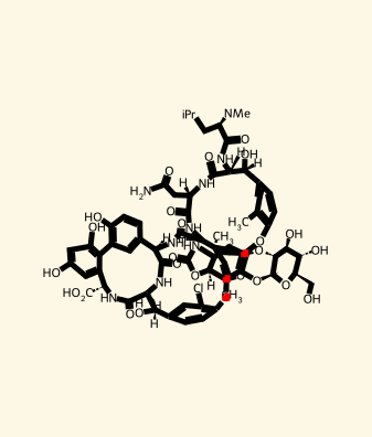 CN[C@H](CC(C)C)C(=O)N[C@H]1C(=O)N[C@@H](CC(N)=O)C(=O)N[C@H]2C(=O)N[C@H]3C(=O)N[C@H](C(=O)N[C@H](C(=O)O)c4cc(O)cc(O)c4-c4cc3ccc4O)[C@H](O)c3ccc(c(Cl)c3)Oc3cc2cc(c3O[C@@H]2O[C@H](CO)[C@@H](O)[C@H](O)[C@H]2O[C@H]2C[C@]3(C)NC(=O)O[C@@H]3[C@H](C)O2)Oc2ccc(cc2C)[C@H]1O